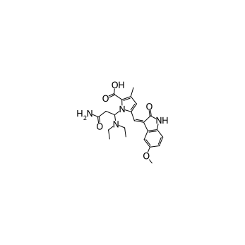 CCN(CC)C(CC(N)=O)n1c(C=C2C(=O)Nc3ccc(OC)cc32)cc(C)c1C(=O)O